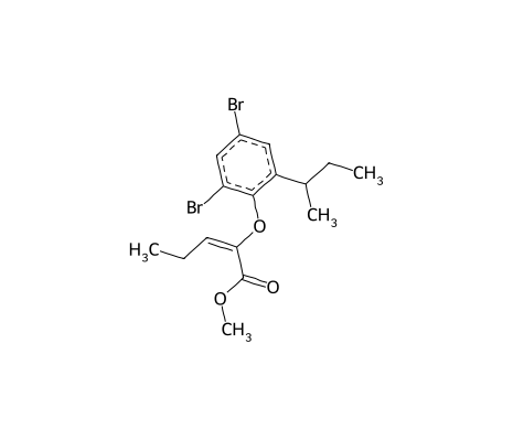 CCC=C(Oc1c(Br)cc(Br)cc1C(C)CC)C(=O)OC